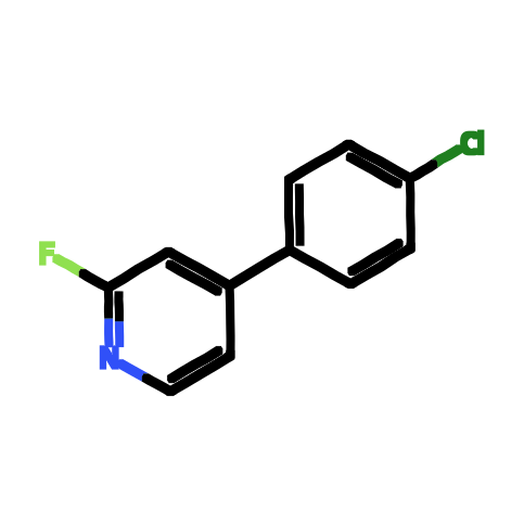 Fc1cc(-c2ccc(Cl)cc2)ccn1